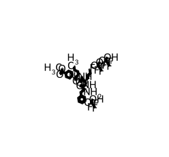 CCCCC(NC(=O)[C@@H](CCCCF)NC(=O)[C@H](N)Cc1ccccc1)C(=O)N1CCC(C(=O)OC)CC1.O=C(O)C(F)(F)F.O=C(O)C(F)(F)F.O=C(O)C(F)(F)F